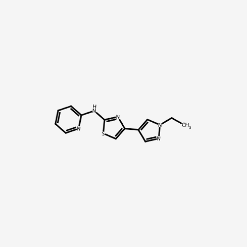 CCn1cc(-c2csc(Nc3ccccn3)n2)cn1